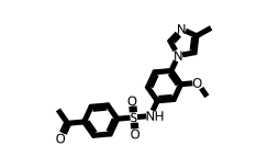 COc1cc(NS(=O)(=O)c2ccc(C(C)=O)cc2)ccc1-n1cnc(C)c1